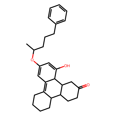 CC(CCCc1ccccc1)OC1=CC2=C3CCCCC3C3CCC(=O)CC3C2C(O)=C1